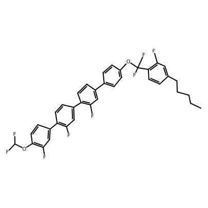 CCCCCc1ccc(C(F)(F)Oc2ccc(-c3ccc(-c4ccc(-c5ccc(OC(F)F)c(F)c5)c(F)c4)c(F)c3)cc2)c(F)c1